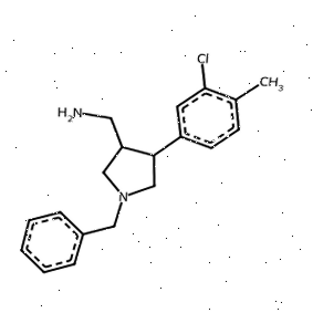 Cc1ccc(C2CN(Cc3ccccc3)CC2CN)cc1Cl